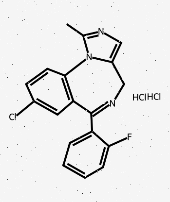 Cc1ncc2n1-c1ccc(Cl)cc1C(c1ccccc1F)=NC2.Cl.Cl